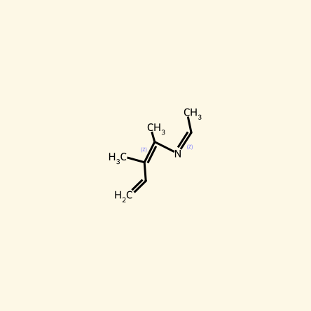 C=C/C(C)=C(C)\N=C/C